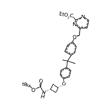 CCOC(=O)c1nccc(COc2ccc(C(C)(C)c3ccc(O[C@H]4C[C@@H](NC(=O)OC(C)(C)C)C4)cc3)cc2)n1